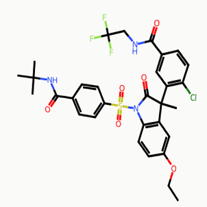 CCOc1ccc2c(c1)C(C)(c1cc(C(=O)NCC(F)(F)F)ccc1Cl)C(=O)N2S(=O)(=O)c1ccc(C(=O)NC(C)(C)C)cc1